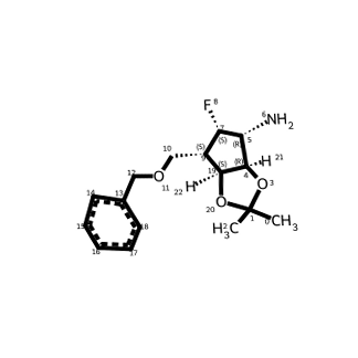 CC1(C)O[C@@H]2[C@@H](N)[C@@H](F)[C@@H](COCc3ccccc3)[C@@H]2O1